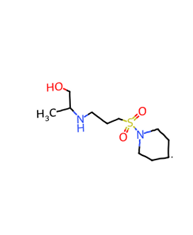 CC(CO)NCCCS(=O)(=O)N1CC[CH]CC1